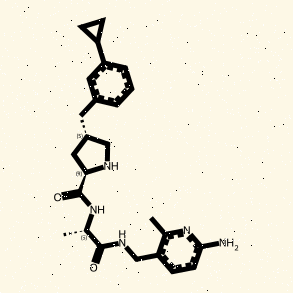 Cc1nc(N)ccc1CNC(=O)[C@H](C)NC(=O)[C@H]1C[C@H](Cc2cccc(C3CC3)c2)CN1